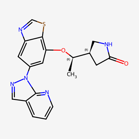 C[C@@H](Oc1cc(-n2ncc3cccnc32)cc2ncsc12)[C@H]1CNC(=O)C1